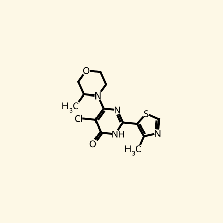 Cc1ncsc1-c1nc(N2CCOCC2C)c(Cl)c(=O)[nH]1